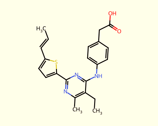 CC=Cc1ccc(-c2nc(C)c(CC)c(Nc3ccc(CC(=O)O)cc3)n2)s1